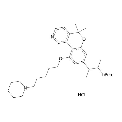 CCCCCC(C)C(C)c1cc(OCCCCCN2CCCCC2)c2c(c1)OC(C)(C)c1ccncc1-2.Cl